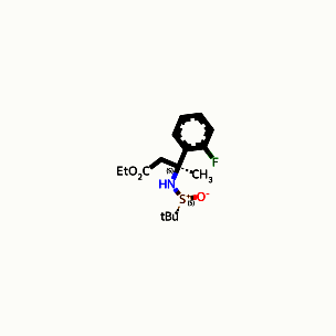 CCOC(=O)C[C@](C)(N[S@+]([O-])C(C)(C)C)c1ccccc1F